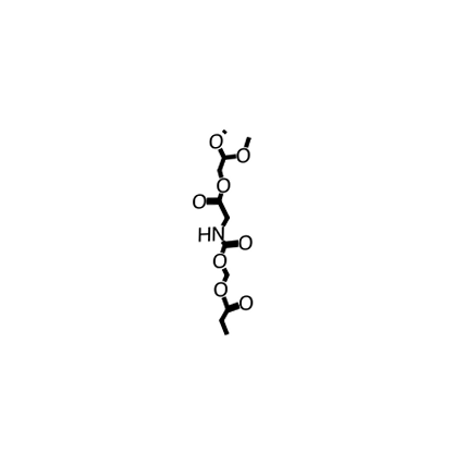 CCC(=O)OCOC(=O)NCC(=O)OCC(OC)OC